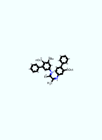 CCCCCCCCc1cc(N=C(C)C(CC)=Nc2cc(CCCC)c(CCCCCCCC)c(-c3ccccc3)c2)ccc1-c1ccccc1